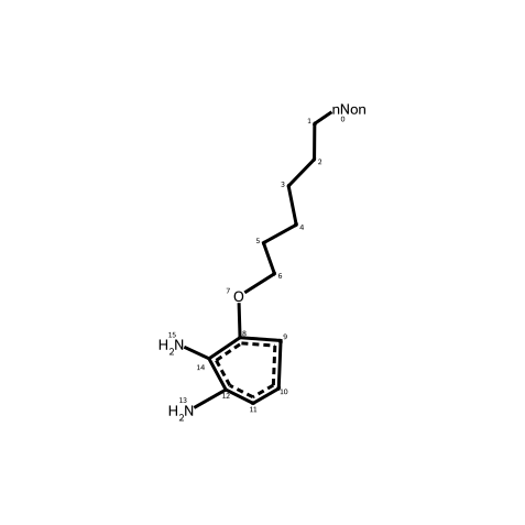 CCCCCCCCCCCCCCCOc1cccc(N)c1N